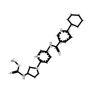 CC(C)(C)OC(=O)NC1CCN(c2ccc(NC(=O)c3ccc(C4CCCCC4)nc3)cn2)C1